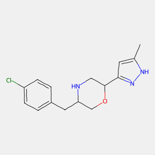 Cc1cc(C2CNC(Cc3ccc(Cl)cc3)CO2)n[nH]1